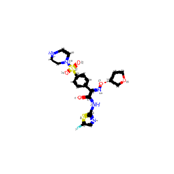 O=C(Nc1ncc(F)s1)/C(=N/O[C@@H]1CCOC1)c1ccc(S(=O)(=O)N2CCNCC2)cc1